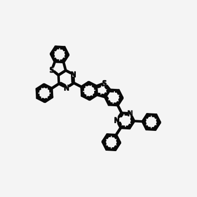 c1ccc(C2=NC(c3ccc4c(c3)sc3ccc(-c5nc(-c6ccccc6)cc(-c6ccccc6)n5)cc34)=NC3c4ccccc4SC23)cc1